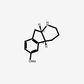 COc1ccc2c(c1)[C@H]1CCCN[C@H]1C2